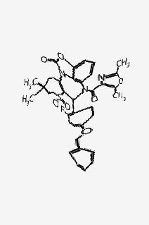 Cc1nc(C(=O)N2c3cccc4oc(=O)n(c34)C3=C(C2C2=C(F)C=C(OCc4ccccc4)CC2)S(=O)(=O)CC(C)(C)C3)c(C)o1